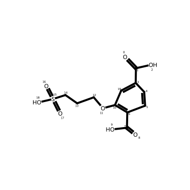 O=C(O)c1ccc(C(=O)O)c(OCCCS(=O)(=O)O)c1